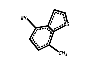 Cc1ccc(C(C)C)c2ccsc12